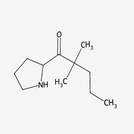 CCCC(C)(C)C(=O)C1CCCN1